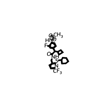 CS(=O)(=O)Nc1ccc(C(C(=O)NCc2ccc(C(F)(F)F)nc2SC2CCCCC2)C2CCC2)cc1F